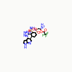 NC(CS(=O)(=O)c1ccc(-c2cnc3[nH]ccc3c2)c(-c2nnn[nH]2)c1S(N)(=O)=O)OC(=O)C(F)(F)F